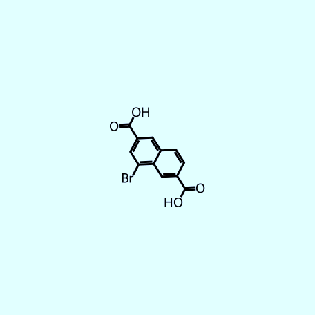 O=C(O)c1cc(Br)c2cc(C(=O)O)ccc2c1